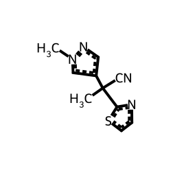 Cn1cc(C(C)(C#N)c2nccs2)cn1